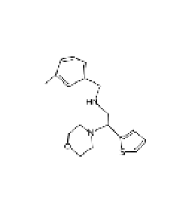 Cc1cccc(CNCC(c2cccs2)N2CCOCC2)c1